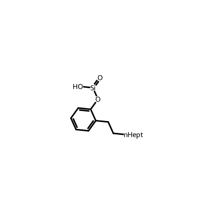 CCCCCCCCCc1ccccc1O[Si](=O)O